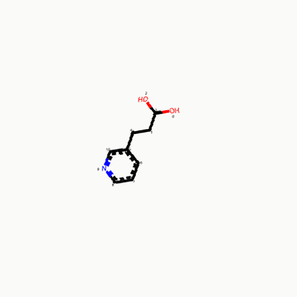 OC(O)CCc1cccnc1